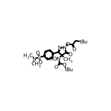 CN(C)S(=O)(=O)c1ccc(C2=NN(OC(=O)CC(C)(C)C)C(=O)C2(C)N(O)C(=O)OC(C)(C)C)cc1